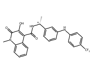 C[C@@H](NC(=O)c1c(O)c(=O)n(C)c2ccccc12)c1cccc(Nc2ccc(C(F)(F)F)cc2)c1